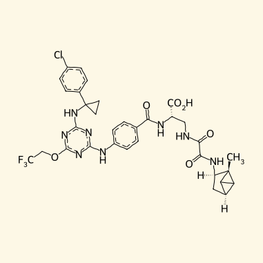 C[C@]12C3C1[C@H]3C[C@H]2NC(=O)C(=O)NC[C@H](NC(=O)c1ccc(Nc2nc(NC3(c4ccc(Cl)cc4)CC3)nc(OCC(F)(F)F)n2)cc1)C(=O)O